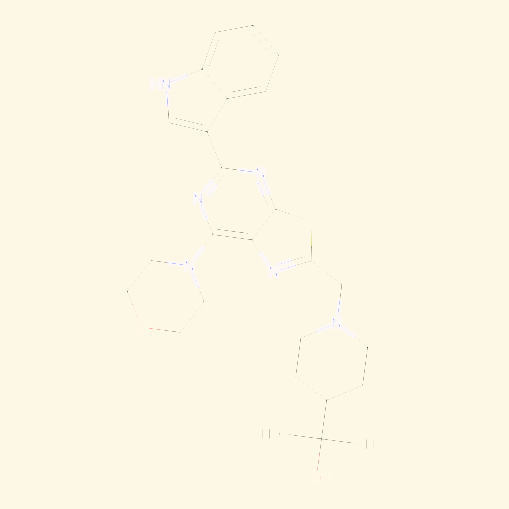 CC(C)(O)C1CCN(Cc2nc3c(N4CCOCC4)nc(-c4c[nH]c5ccccc45)nc3s2)CC1